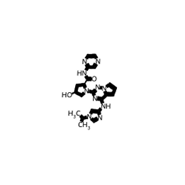 CC(C)n1cnc(Nc2nc(N3C[C@@H](O)C[C@H]3C(=O)Nc3cnccn3)nn3cccc23)c1